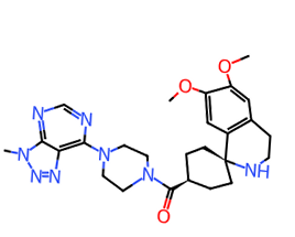 COc1cc2c(cc1OC)[C@]1(CC[C@H](C(=O)N3CCN(c4ncnc5c4nnn5C)CC3)CC1)NCC2